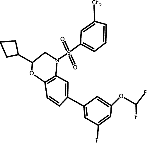 O=S(=O)(c1cccc(C(F)(F)F)c1)N1CC(C2CCC2)Oc2ccc(-c3cc(F)cc(OC(F)F)c3)cc21